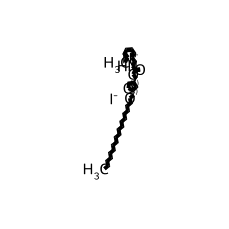 CCCCCCCCCCCCCCCCCCOC[C@H]1C[C@H](COC(=O)NCc2cccc[n+]2C)CO1.[I-]